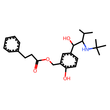 CC(C)C(NC(C)(C)C)C(O)c1ccc(O)c(COC(=O)CCc2ccccc2)c1